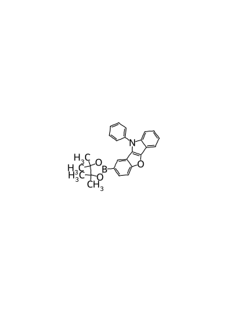 CC1(C)OB(c2ccc3oc4c5ccccc5n(-c5ccccc5)c4c3c2)OC1(C)C